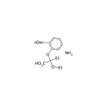 CCCCCCCCCCc1ccccc1OC(CC)(OCC)C(=O)O.N